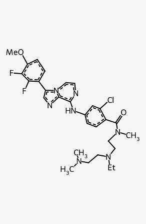 CCN(CCN(C)C)CCN(C)C(=O)c1ccc(Nc2nccn3c(-c4ccc(OC)c(F)c4F)cnc23)cc1Cl